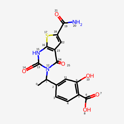 CC(c1ccc(C(=O)O)c(O)c1)n1c(=O)[nH]c2sc(C(N)=O)cc2c1=O